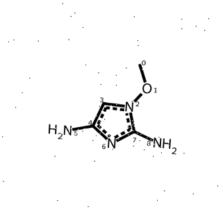 COn1cc(N)nc1N